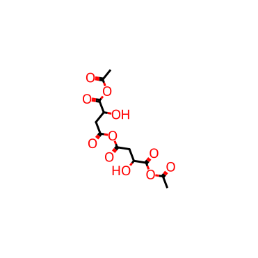 CC(=O)OC(=O)C(O)CC(=O)OC(=O)CC(O)C(=O)OC(C)=O